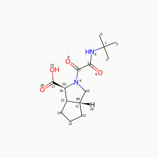 CC(C)(C)NC(=O)C(=O)N1C[C@@H]2CCCC2[C@H]1C(=O)O